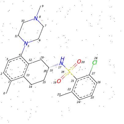 Cc1ccc(N2CCN(C)CC2)c2c1CC[C@@H](NS(=O)(=O)c1c(C)cccc1Cl)C2